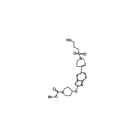 CC(C)OC(=O)N1CCC(Oc2nc3ccc(C4=CCN(S(=O)(=O)CCCO)CC4)cc3s2)CC1